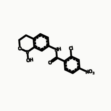 O=C(Nc1ccc2c(c1)B(O)OCC2)c1ccc([N+](=O)[O-])cc1Cl